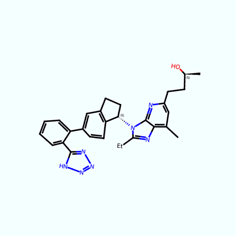 CCc1nc2c(C)cc(CC[C@H](C)O)nc2n1[C@H]1CCc2cc(-c3ccccc3-c3nnn[nH]3)ccc21